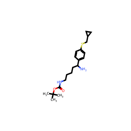 CC(C)(C)OC(=O)NCCCCC(N)c1ccc(SCC2CC2)cc1